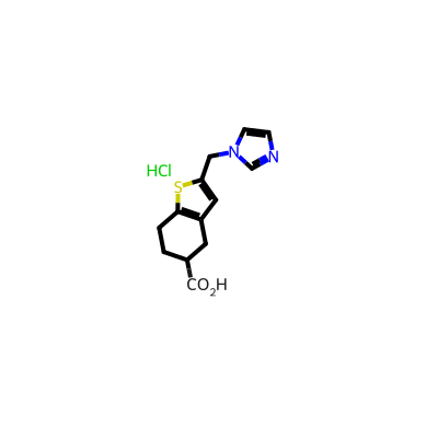 Cl.O=C(O)C1CCc2sc(Cn3ccnc3)cc2C1